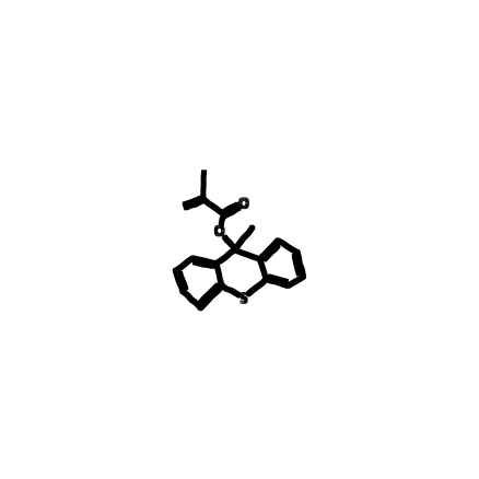 C=C(C)C(=O)OC1(C)c2ccccc2Sc2ccccc21